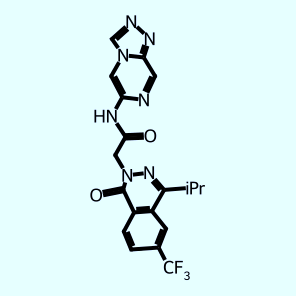 CC(C)c1nn(CC(=O)Nc2cn3cnnc3cn2)c(=O)c2ccc(C(F)(F)F)cc12